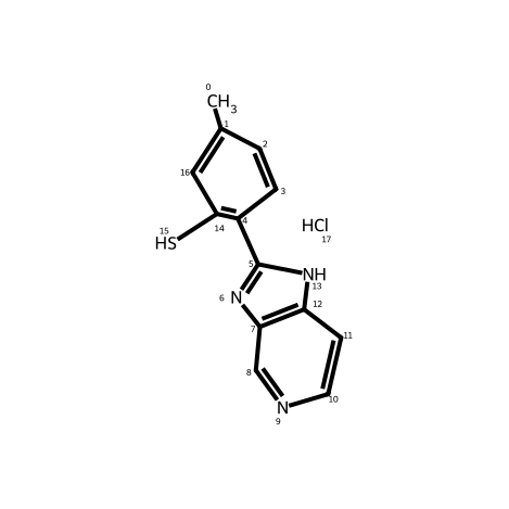 Cc1ccc(-c2nc3cnccc3[nH]2)c(S)c1.Cl